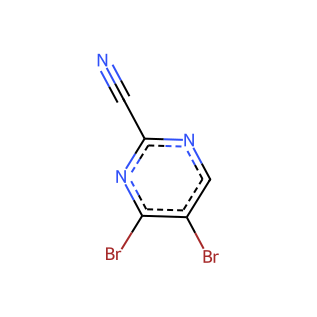 N#Cc1ncc(Br)c(Br)n1